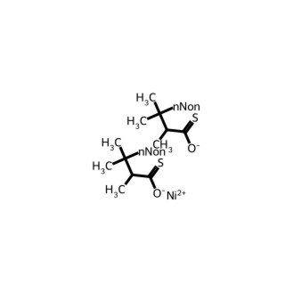 CCCCCCCCCC(C)(C)C(C)C([O-])=S.CCCCCCCCCC(C)(C)C(C)C([O-])=S.[Ni+2]